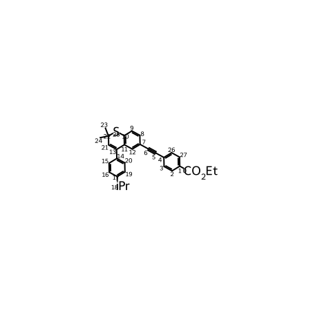 CCOC(=O)c1ccc(C#Cc2ccc3c(c2)C(c2ccc(C(C)C)cc2)=CC(C)(C)S3)cc1